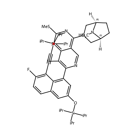 CSc1nc(N2C[C@H]3CC[C@@H](C2)N3C(=O)O)c2cnc(-c3cc(O[Si](C(C)C)(C(C)C)C(C)C)cc4ccc(F)c(C#C[Si](C(C)C)(C(C)C)C(C)C)c34)c(F)c2n1